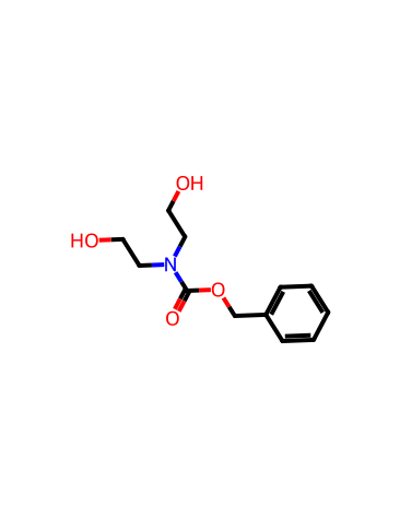 O=C(OCc1ccccc1)N(CCO)CCO